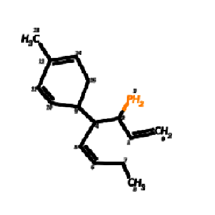 C=CC(P)C(/C=C\CC)C1C=CC(C)=CC1